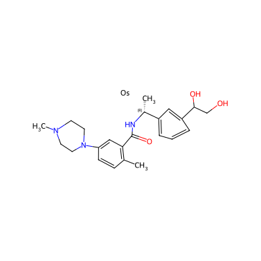 Cc1ccc(N2CCN(C)CC2)cc1C(=O)N[C@H](C)c1cccc(C(O)CO)c1.[Os]